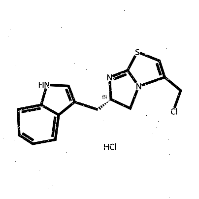 Cl.ClCC1=CSC2=N[C@@H](Cc3c[nH]c4ccccc34)CN12